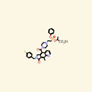 CCOC(=O)C(C)OP(=O)(CCN1CCN(C(=O)c2c3c(c(C)c4ncccc24)C(=O)N(Cc2ccc(F)cc2)C3)CC1)Oc1ccccc1